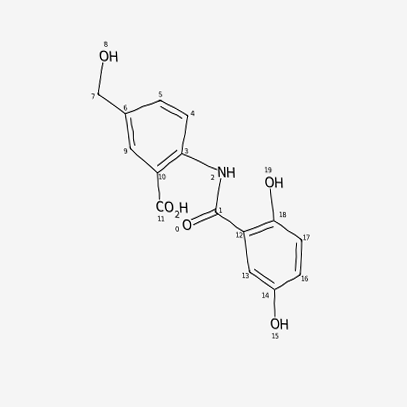 O=C(Nc1ccc(CO)cc1C(=O)O)c1cc(O)ccc1O